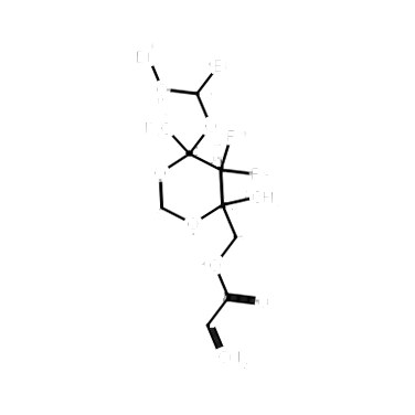 C=CC(=O)OCC1(C)OCOC(OC(CC)OCC)(C(F)(F)F)C1(F)F